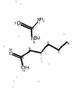 CCCCC(N)=O.CCCCCC(=O)O